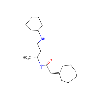 O=C(C=C1CCCCCC1)N[C@@H](CCNC1CCCCC1)C(=O)O